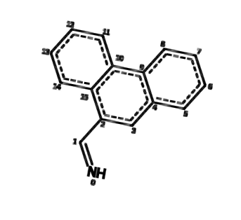 N=Cc1cc2ccccc2c2ccccc12